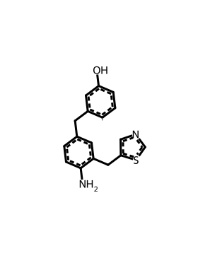 Nc1ccc(Cc2[c]ccc(O)c2)cc1Cc1cncs1